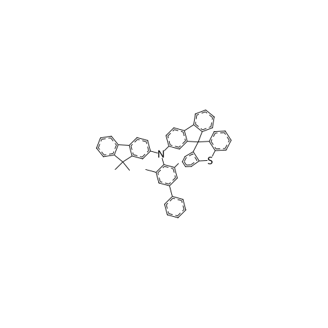 Cc1cc(-c2ccccc2)cc(C)c1N(c1ccc2c(c1)C(C)(C)c1ccccc1-2)c1ccc2c(c1)C1(c3ccccc3Sc3ccccc31)c1ccccc1-2